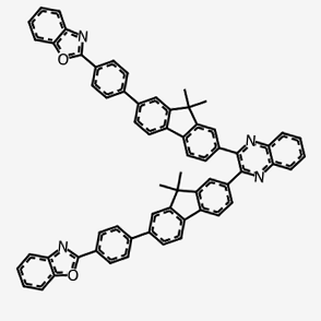 CC1(C)c2cc(-c3ccc(-c4nc5ccccc5o4)cc3)ccc2-c2ccc(-c3nc4ccccc4nc3-c3ccc4c(c3)C(C)(C)c3cc(-c5ccc(-c6nc7ccccc7o6)cc5)ccc3-4)cc21